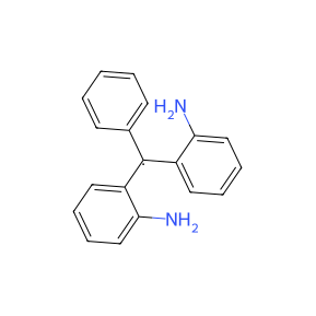 Nc1ccccc1[C](c1ccccc1)c1ccccc1N